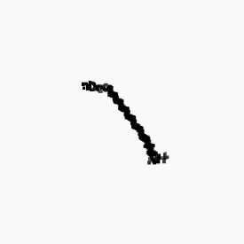 CCCCCCCCCCCCCCCCCCCCCCCCCCC[NH]